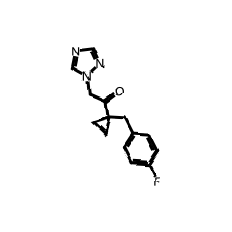 O=C(Cn1cncn1)C1(Cc2ccc(F)cc2)CC1